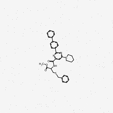 COC(=O)C(CSCc1ccccc1)NC(=O)c1cc(N2CCCCC2)nc(-c2ccc(-c3ccccc3)cc2)n1